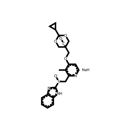 Cc1c(OCC23COC(C4CC4)(OC2)OC3)ccnc1C[S+]([O-])c1nc2ccccc2[nH]1.[NaH]